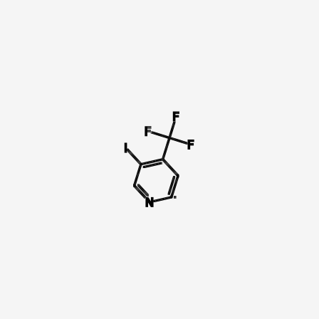 FC(F)(F)c1c[c]ncc1I